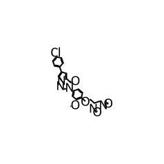 COc1cc(-n2cnn3cc(-c4ccc(Cl)cc4)cc3c2=O)ccc1OCC(CN=O)N=O